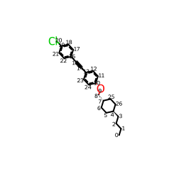 CCCC[C@H]1CC[C@H](COc2ccc(C#Cc3ccc(Cl)cc3)cc2)CC1